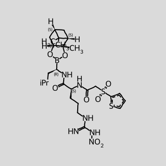 CC(C)C[C@H](NC(=O)[C@H](CCCNC(=N)N[N+](=O)[O-])NC(=O)CS(=O)(=O)c1cccs1)B1O[C@@H]2C[C@@H]3C[C@@H](C3(C)C)[C@]2(C)O1